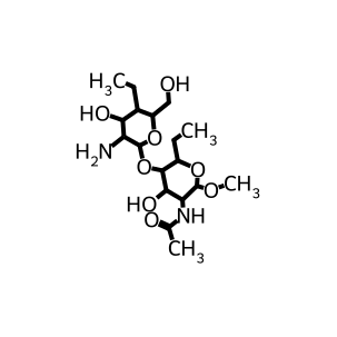 CCC1OC(OC)C(NC(C)=O)C(O)C1OC1OC(CO)C(CC)C(O)C1N